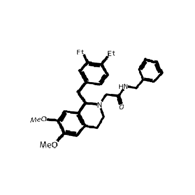 CCc1ccc(CC2c3cc(OC)c(OC)cc3CCN2CC(=O)NCc2ccccc2)cc1CC